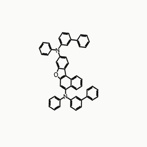 c1ccc(-c2cccc(N(c3ccccc3)c3ccc4c(c3)oc3cc(N(c5ccccc5)c5cccc(-c6ccccc6)c5)c5ccccc5c34)c2)cc1